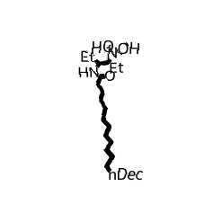 CCCCCCCCCCCCCCCCCCCCCC(=O)NC(CC)C(CC)N(O)O